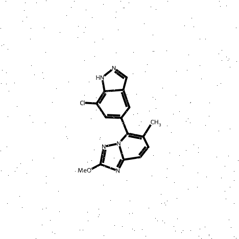 COc1nc2ccc(C)c(-c3cc(Cl)c4[nH]ncc4c3)n2n1